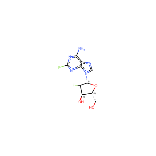 Nc1nc(F)nc2c1ncn2[C@@H]1O[C@H](CO)[C@@H](O)C1F